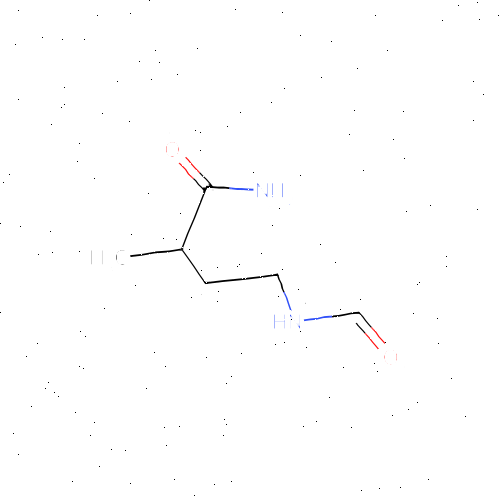 CC(CCNC=O)C(N)=O